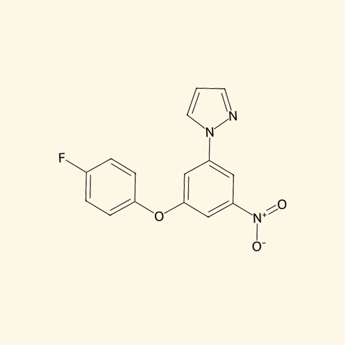 O=[N+]([O-])c1cc(Oc2ccc(F)cc2)cc(-n2cccn2)c1